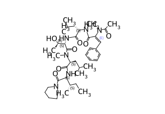 CC[C@H](C)[C@H](NC(=O)[C@H](CC(C)C)N(C)C(=O)[C@@H](NC(=O)[C@H](CC(C)C)N(C)C(=O)/C(=C\c1ccccc1)N(C)C(C)=O)[C@@H](C)O)C(=O)N1CCCCC1